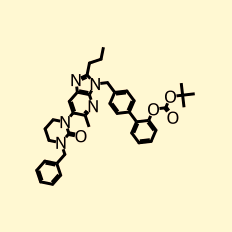 CCCc1nc2cc(N3CCCN(Cc4ccccc4)C3=O)c(C)nc2n1Cc1ccc(-c2ccccc2OC(=O)OC(C)(C)C)cc1